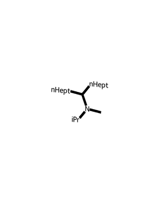 CCCCCCCC(CCCCCCC)N(C)C(C)C